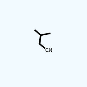 C[C](C)CC#N